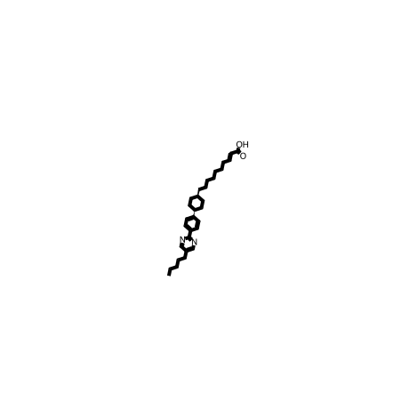 CCCCCc1cnc(-c2ccc([C@H]3CC[C@H](CCCCCCC/C=C/C(=O)O)CC3)cc2)nc1